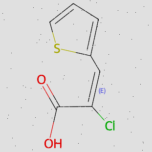 O=C(O)/C(Cl)=C\c1cccs1